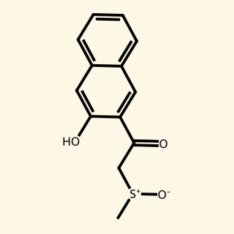 C[S+]([O-])CC(=O)c1cc2ccccc2cc1O